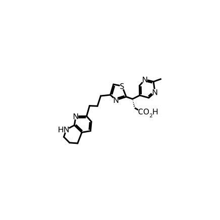 Cc1ncc([C@H](CC(=O)O)c2nc(CCCc3ccc4c(n3)NCCC4)cs2)cn1